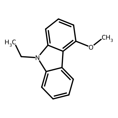 CCn1c2ccccc2c2c(OC)cccc21